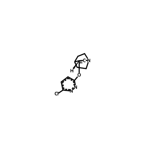 Clc1ccc(O[C@H]2CN3CCC2CC3)nn1